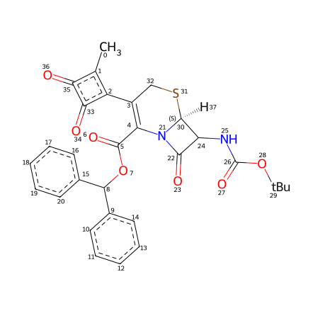 Cc1c(C2=C(C(=O)OC(c3ccccc3)c3ccccc3)N3C(=O)C(NC(=O)OC(C)(C)C)[C@@H]3SC2)c(=O)c1=O